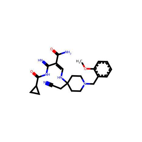 COc1ccccc1CN1CCC(CC#N)(N/C=C(\C(=N)NC(=O)C2CC2)C(N)=O)CC1